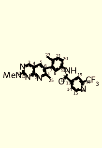 CNc1ncc2cc(-c3cc(NC(=O)c4ccnc(C(F)(F)F)c4)ccc3C)c(C)nc2n1